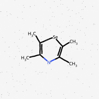 CC1=C(C)[Se]C(C)=C(C)[N]1